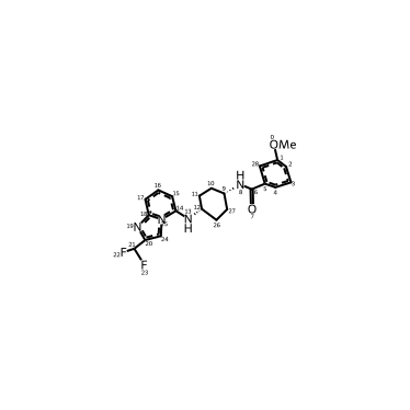 COc1cccc(C(=O)N[C@H]2CC[C@@H](Nc3cccc4nc(C(F)F)cn34)CC2)c1